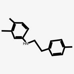 Cc1ccc(CCNc2ccc(C)c(C)c2)cc1